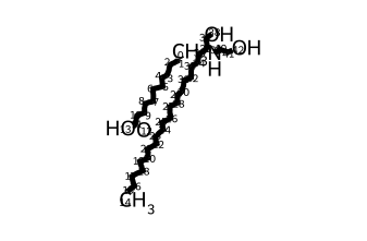 CCCCCCCCCCCC(=O)O.CCCCCCCCCCCCCCCCCCCCCCC(CO)NCCO